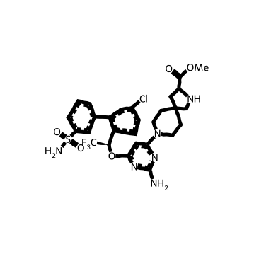 COC(=O)C1CC2(CCN(c3cc(O[C@H](c4ccc(Cl)cc4-c4cccc(S(N)(=O)=O)c4)C(F)(F)F)nc(N)n3)CC2)CN1